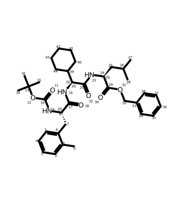 Cc1ccccc1C[C@H](NC(=O)OC(C)(C)C)C(=O)N[C@H](C(=O)N[C@@H](CC(C)C)C(=O)OCc1ccccc1)C1CCCCC1